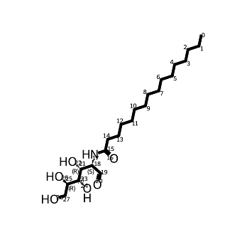 CCCCCCCCCCCCCCCC(=O)N[C@H](C=O)[C@@H](O)[C@H](O)[C@H](O)CO